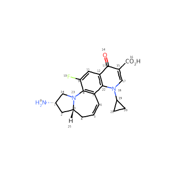 N[C@H]1C[C@H]2CC=Cc3c(c(F)cc4c(=O)c(C(=O)O)cn(C5CC5)c34)N2C1